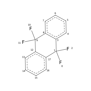 FC1(F)c2ccccc2C(F)(F)c2ccccc21